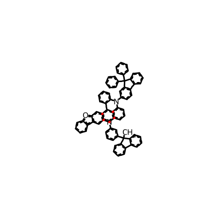 CC1(c2cccc(N(c3cccc(N(c4ccc5c(c4)C(c4ccccc4)(c4ccccc4)c4ccccc4-5)c4ccccc4-c4ccccc4)c3)c3ccc4oc5ccccc5c4c3)c2)c2ccccc2-c2ccccc21